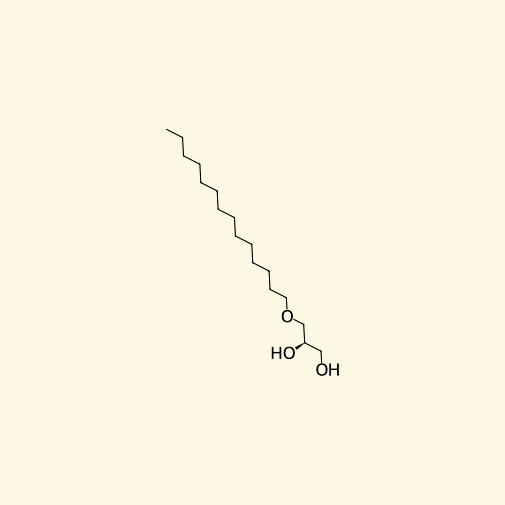 CCCCCCCCCCCCCCOC[C@H](O)CO